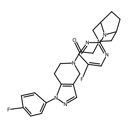 O=C(CN1CC2CCC(C1)N2c1ncc(F)cn1)N1CCc2c(cnn2-c2ccc(F)cc2)C1